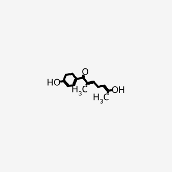 C/C(O)=C\C/C=C(\C)C(=O)C1=CC=C(O)CC1